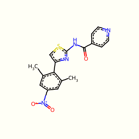 Cc1cc([N+](=O)[O-])cc(C)c1-c1csc(NC(=O)c2ccncc2)n1